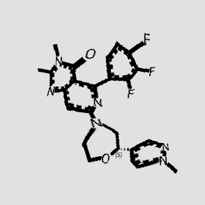 Cc1nc2cc(N3CCO[C@@H](c4cnn(C)c4)C3)nc(-c3ccc(F)c(F)c3F)c2c(=O)n1C